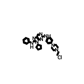 ClCCN1CCN(c2ccc(Nc3ncc4nc(Nc5ccccc5)n(C5CCCC5)c4n3)cc2)CC1